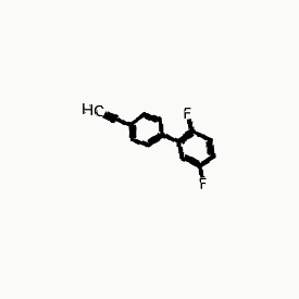 C#Cc1ccc(-c2cc(F)ccc2F)cc1